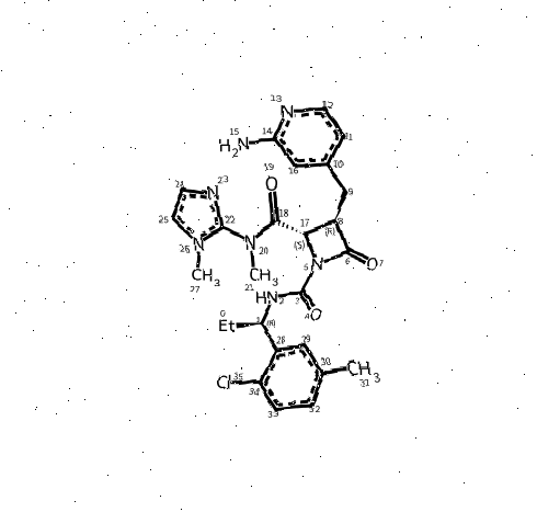 CC[C@@H](NC(=O)N1C(=O)[C@H](Cc2ccnc(N)c2)[C@H]1C(=O)N(C)c1nccn1C)c1cc(C)ccc1Cl